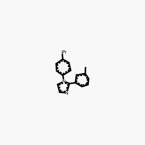 Cc1cccc(-c2nccn2-c2ccc(C(C)C)cc2)c1